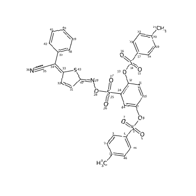 Cc1ccc(S(=O)(=O)Oc2ccc(OS(=O)(=O)c3ccc(C)cc3)c(S(=O)(=O)O/N=C3C=C/C(=C(\C#N)c4ccccc4)S\3)c2)cc1